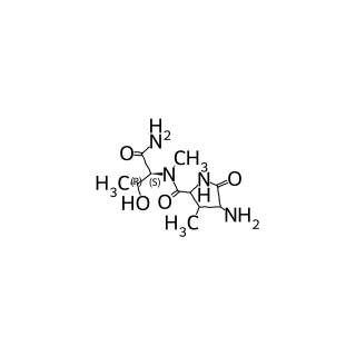 CC1C(N)C(=O)NC1C(=O)N(C)[C@H](C(N)=O)[C@@H](C)O